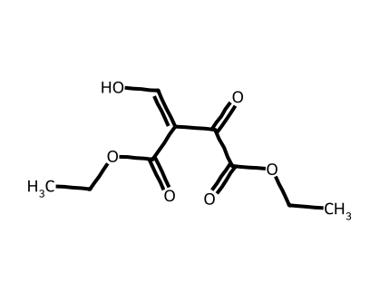 CCOC(=O)C(=O)C(=CO)C(=O)OCC